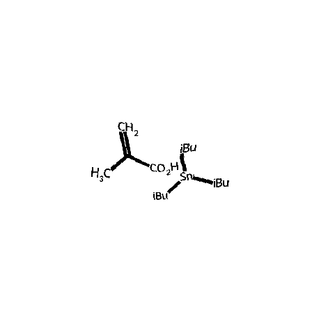 C=C(C)C(=O)O.CC[CH](C)[Sn]([CH](C)CC)[CH](C)CC